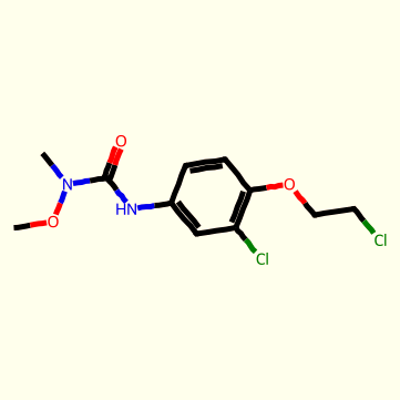 CON(C)C(=O)Nc1ccc(OCCCl)c(Cl)c1